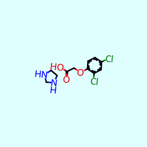 C1CNCN1.O=C(O)COc1ccc(Cl)cc1Cl